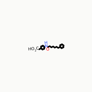 O=C(O)Cc1ccc(NC(=O)CCCCCCc2ccccc2)cc1